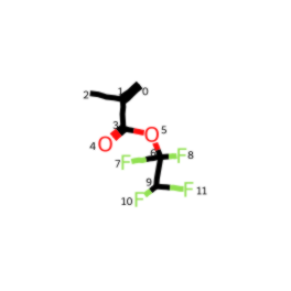 C=C(C)C(=O)OC(F)(F)C(F)F